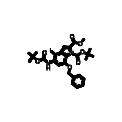 COC(=O)c1cc2c(I)c(NC(=O)OC(C)(C)C)cc(OCc3ccccc3)c2n1C(=O)OC(C)(C)C